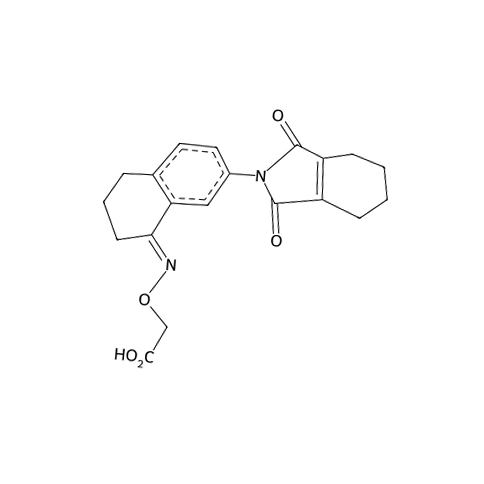 O=C(O)CON=C1CCCc2ccc(N3C(=O)C4=C(CCCC4)C3=O)cc21